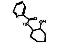 O=C(NC1CCCC[C@@H]1O)c1ccccn1